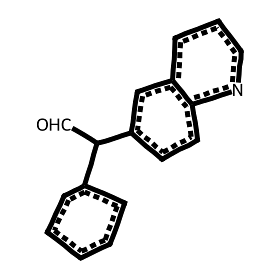 O=CC(c1ccccc1)c1ccc2ncccc2c1